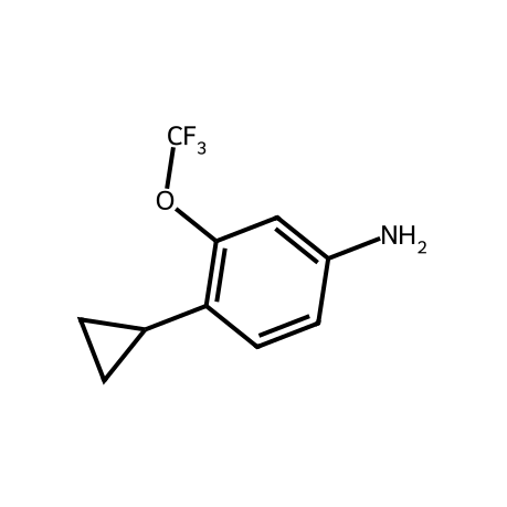 Nc1ccc(C2CC2)c(OC(F)(F)F)c1